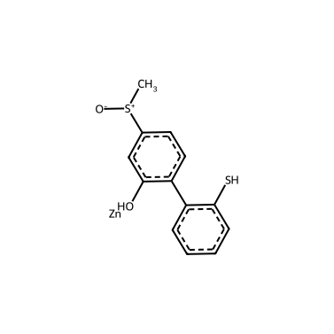 C[S+]([O-])c1ccc(-c2ccccc2S)c(O)c1.[Zn]